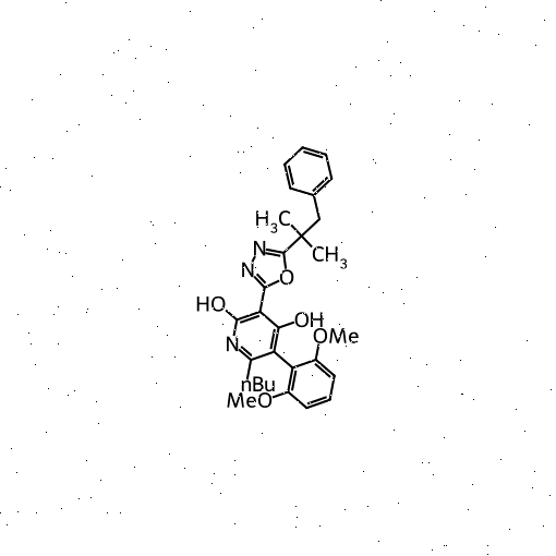 CCCCc1nc(O)c(-c2nnc(C(C)(C)Cc3ccccc3)o2)c(O)c1-c1c(OC)cccc1OC